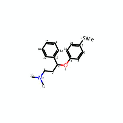 CSc1ccc(OC(CCN(C)C)c2ccccc2)cc1